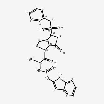 CCCC(NC(=O)Oc1cc2ccccc2s1)C(=O)N1CCC2C1C(=O)CN2S(=O)(=O)Cc1ccccn1